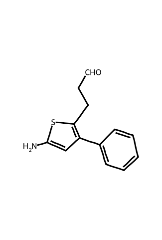 Nc1cc(-c2ccccc2)c(CCC=O)s1